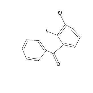 CCc1cccc(C(=O)c2ccccc2)c1I